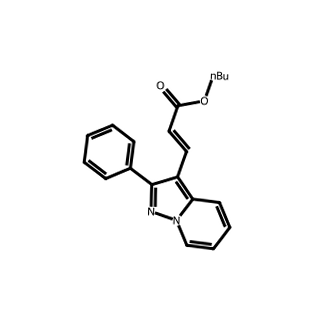 CCCCOC(=O)C=Cc1c(-c2ccccc2)nn2ccccc12